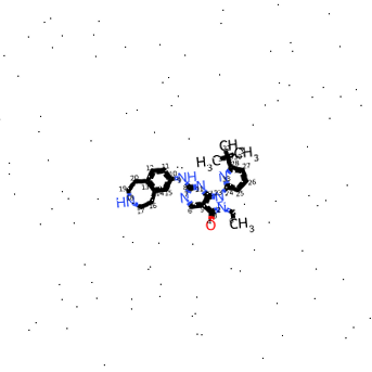 CCn1c(=O)c2cnc(Nc3ccc4c(c3)CCNCC4)nc2n1-c1cccc(C(C)(C)C)n1